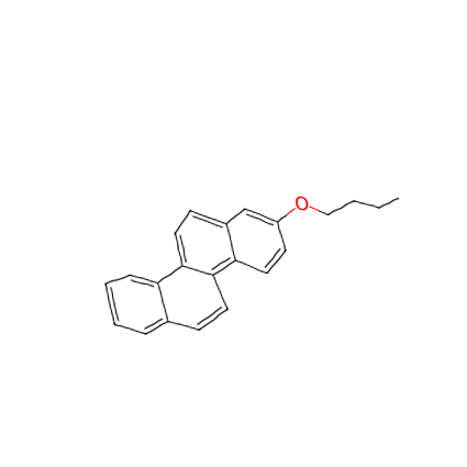 CCCCOc1ccc2c(ccc3c4ccccc4ccc23)c1